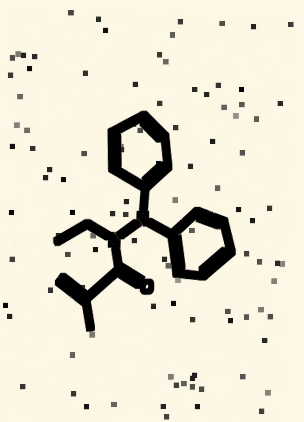 C=C(C)C(=O)N(CC)N(c1ccccc1)c1ccccc1